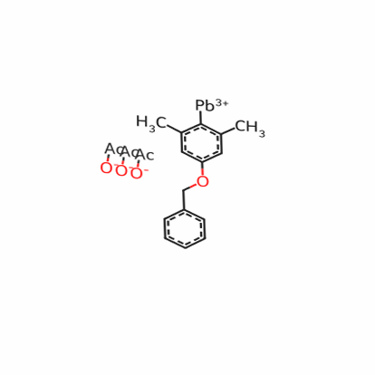 CC(=O)[O-].CC(=O)[O-].CC(=O)[O-].Cc1cc(OCc2ccccc2)cc(C)[c]1[Pb+3]